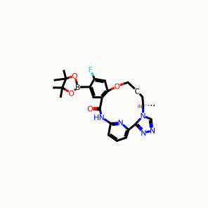 C[C@H]1CCCOc2cc(F)c(B3OC(C)(C)C(C)(C)O3)cc2C(=O)Nc2cccc(n2)-c2nncn21